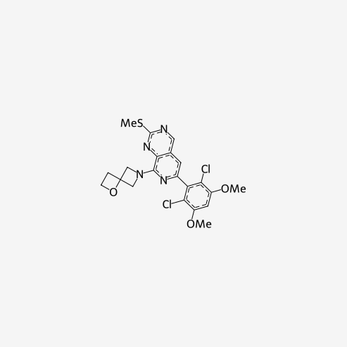 COc1cc(OC)c(Cl)c(-c2cc3cnc(SC)nc3c(N3CC4(CCO4)C3)n2)c1Cl